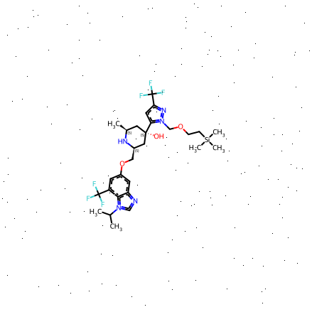 CC(C)n1cnc2cc(OC[C@@H]3C[C@](O)(c4cc(C(F)(F)F)nn4COCC[Si](C)(C)C)C[C@H](C)N3)cc(C(F)(F)F)c21